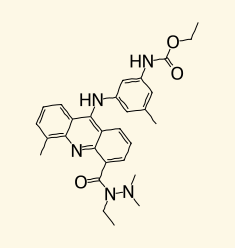 CCOC(=O)Nc1cc(C)cc(Nc2c3cccc(C)c3nc3c(C(=O)N(CC)N(C)C)cccc23)c1